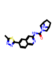 Cc1nnc(-c2ccc3cnc(NC(=O)N4CC5CCC(C4)N5)cc3c2)s1